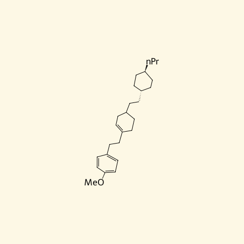 CCC[C@H]1CC[C@H](CCC2CC=C(CCc3ccc(OC)cc3)CC2)CC1